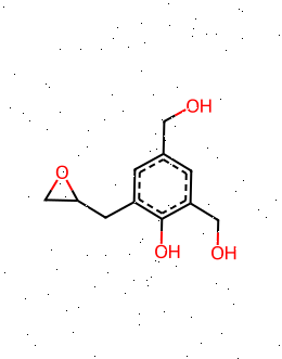 OCc1cc(CO)c(O)c(CC2CO2)c1